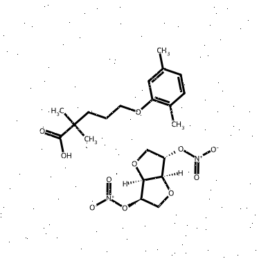 Cc1ccc(C)c(OCCCC(C)(C)C(=O)O)c1.O=[N+]([O-])O[C@H]1CO[C@H]2[C@@H]1OC[C@H]2O[N+](=O)[O-]